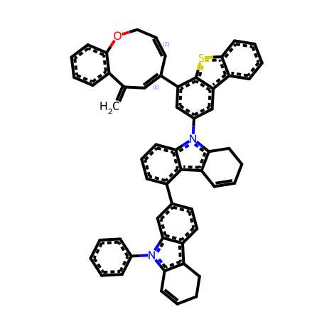 C=C1/C=C(c2cc(-n3c4c(c5c(-c6ccc7c8c(n(-c9ccccc9)c7c6)C=CCC8)cccc53)C=CCC4)cc3c2sc2ccccc23)\C=C/COc2ccccc21